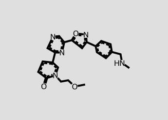 CNCc1ccc(-c2cc(-c3cncc(-c4ccc(=O)n(CCOC)c4)n3)on2)cc1